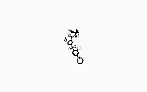 CO[C@H]1C[C@@H](S(=O)(=O)c2ccc(N3CCCCC3)cc2Cl)C[C@@H]1C(=O)NC1(C#N)CC1